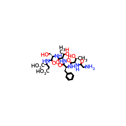 C[C@@H](O)[C@H](NC(=O)CN)C(=O)N[C@@H](Cc1ccccc1)C(=O)N[C@H](C(=O)N[C@@H](CO)C(=O)N[C@@H](CC(=O)O)C(=O)O)[C@@H](C)O